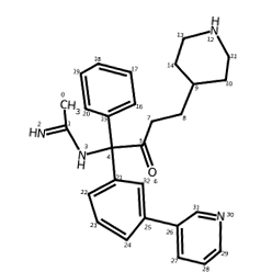 CC(=N)NC(C(=O)CCC1CCNCC1)(c1ccccc1)c1cccc(-c2cccnc2)c1